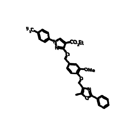 CCOC(=O)c1cn(-c2ccc(C(F)(F)F)cc2)nc1OCc1ccc(OCc2nc(-c3ccccc3)oc2C)c(OC)c1